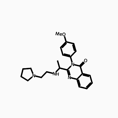 COc1ccc(-n2c(C(C)NCCN3CCCC3)nc3ccccc3c2=O)cc1